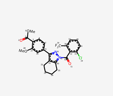 COC(=O)c1ccc(-c2nn(C(=O)c3c(Cl)cccc3C(F)(F)F)c3c2CCCC3)cc1OC